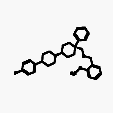 COc1ccccc1COC[C@]1(c2ccccc2)CC[C@@H](N2CCC(c3ccc(F)cc3)CC2)CC1